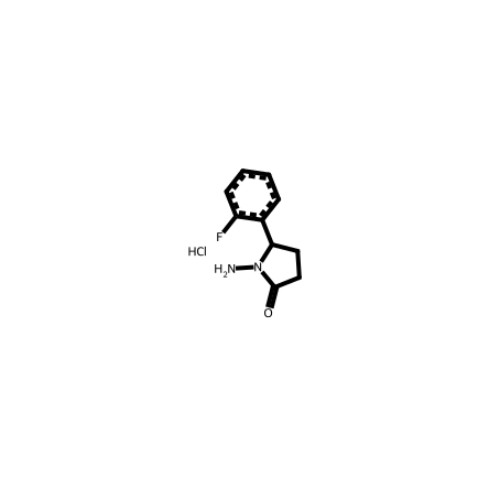 Cl.NN1C(=O)CCC1c1ccccc1F